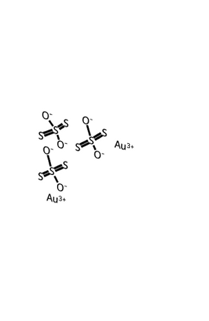 [Au+3].[Au+3].[O-]S([O-])(=S)=S.[O-]S([O-])(=S)=S.[O-]S([O-])(=S)=S